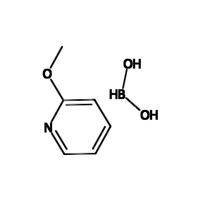 COc1ccccn1.OBO